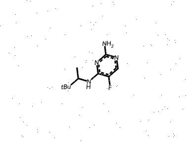 CC(Nc1nc(N)ncc1F)C(C)(C)C